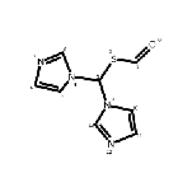 O=CSC(n1ccnc1)n1ccnc1